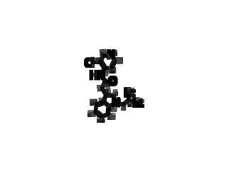 CCC(CC)Cn1cc(CC(=O)Nc2ccncc2Cl)c2ccccc21